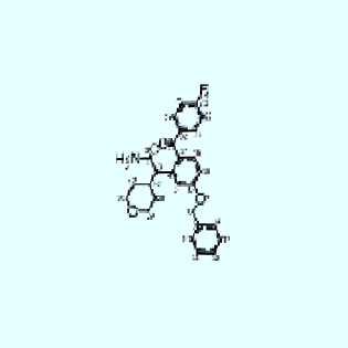 NC(=O)C(c1cc(OCc2ccccc2)ccc1C(=O)c1ccc(F)cc1)C1CCOCC1